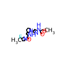 COCC(C=O)NC1C=C(N2CCCc3cc(C(=O)N4CCC(C)(F)C4)[nH]c32)C=N1